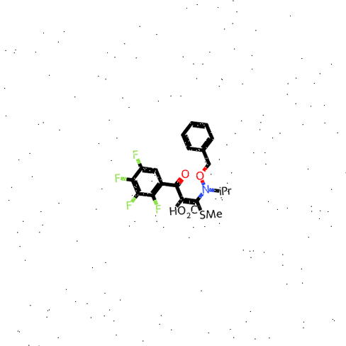 CS/C(=C(\C(=O)O)C(=O)c1cc(F)c(F)c(F)c1F)N(OCc1ccccc1)C(C)C